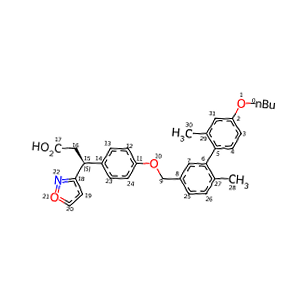 CCCCOc1ccc(-c2cc(COc3ccc([C@H](CC(=O)O)c4ccon4)cc3)ccc2C)c(C)c1